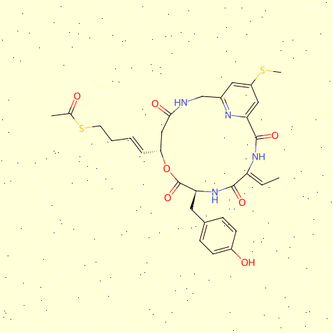 C/C=C1\NC(=O)c2cc(SC)cc(n2)CNC(=O)C[C@@H](/C=C/CCSC(C)=O)OC(=O)[C@H](Cc2ccc(O)cc2)NC1=O